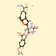 COc1ccc2c(c1)C(=O)N(C[C@@]1(c3cc4cc(C(N)C(F)(F)F)ccc4o3)NC(=O)NC1=O)C2